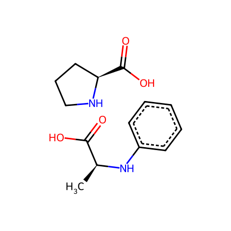 C[C@H](Nc1ccccc1)C(=O)O.O=C(O)[C@@H]1CCCN1